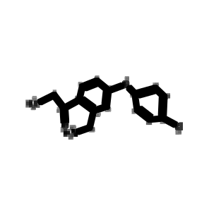 CCC(=O)c1ccc(Oc2ccc(Cl)cc2)cc1CN